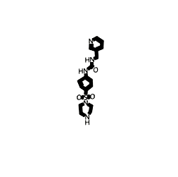 O=C(NCc1cccnc1)Nc1ccc(S(=O)(=O)N2CCNCC2)cc1